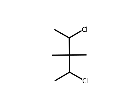 CC(Cl)C(C)(C)C(C)Cl